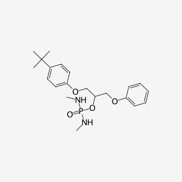 CNP(=O)(NC)OC(COc1ccccc1)COc1ccc(C(C)(C)C)cc1